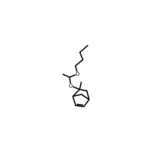 CCCCOC(C)OC1(C)CC2C=CC1C2